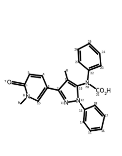 Cc1c(-c2ccc(=O)n(C)c2)nn(-c2ccccc2)c1N(C(=O)O)c1ccccc1